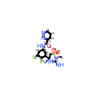 CN1C(=N)N[C@](C)(c2cc(NC(=O)c3cccnn3)cc(F)c2F)CS1(=O)=O